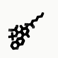 CCCCCC(=O)Nc1cc(C)c(-c2ccc3c(c2)CCCO3)c(C(OC(C)(C)C)C(=O)O)c1C